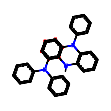 CN(c1ccccc1N(c1ccccc1)c1ccccc1)c1ccccc1N(c1ccccc1)c1ccccc1